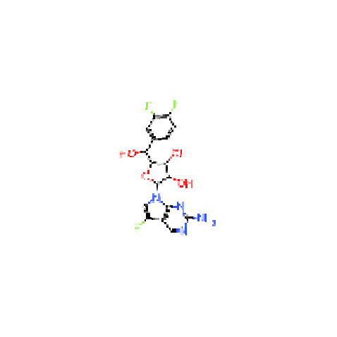 Nc1ncc2c(F)cn(C3OC(C(O)c4ccc(F)c(F)c4)C(O)C3O)c2n1